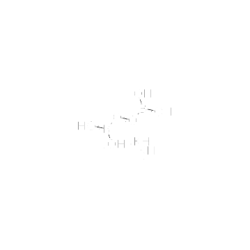 OB(O)OOB(O)O.[KH].[KH]